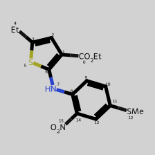 CCOC(=O)c1cc(CC)sc1Nc1ccc(SC)cc1[N+](=O)[O-]